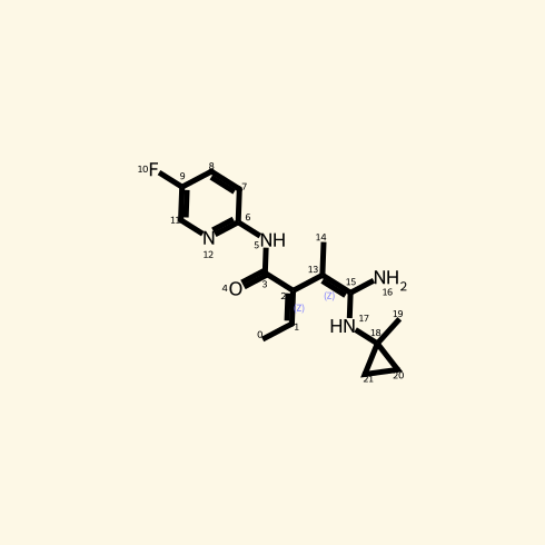 C/C=C(C(=O)Nc1ccc(F)cn1)/C(C)=C(/N)NC1(C)CC1